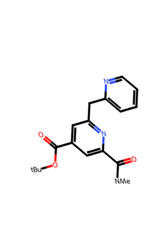 CNC(=O)c1cc(C(=O)OC(C)(C)C)cc(Cc2ccccn2)n1